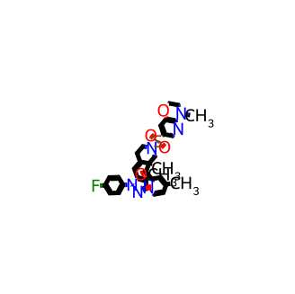 Cc1ccnc(C(=O)[C@@]2(C)CN(S(=O)(=O)c3cnc4c(c3)OCCN4C)CC/C2=C/c2c(C)cnn2-c2ccc(F)cc2)c1